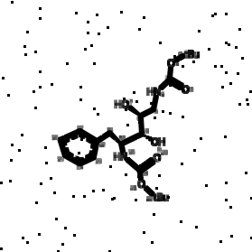 CC(C)(C)OC(=O)NC[C@H](O)[C@H](O)[C@H](Cc1ccccc1)NC(=O)OC(C)(C)C